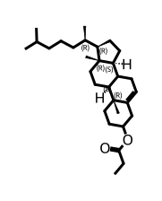 CCC(=O)OC1CC[C@@]2(C)C(=CCC3[C@@H]4CC[C@H]([C@H](C)CCCC(C)C)[C@@]4(C)CC[C@@H]32)C1